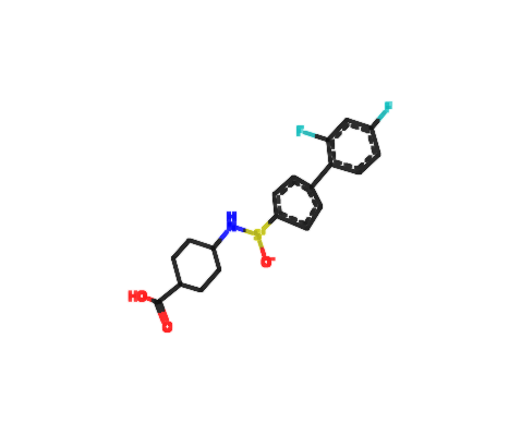 O=C(O)C1CCC(N[S+]([O-])c2ccc(-c3ccc(F)cc3F)cc2)CC1